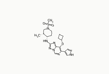 C[C@@H]1CN(S(C)(=O)=O)CC[C@@H]1Nc1nc2c(OC3CCC3)c(-c3cn[nH]c3)ncn2n1